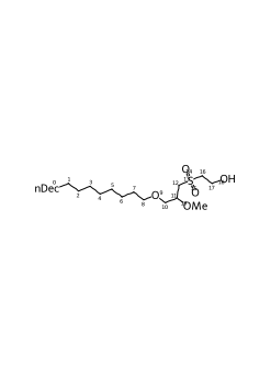 CCCCCCCCCCCCCCCCCCOCC(CS(=O)(=O)CCO)OC